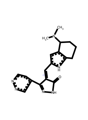 CN(C)C1CCCc2[nH]c(/C=C3\C(=O)NN=C3c3ccnnc3)cc21